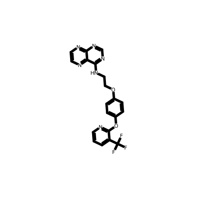 FC(F)(F)c1cccnc1Oc1ccc(OCCNc2ncnc3nccnc23)cc1